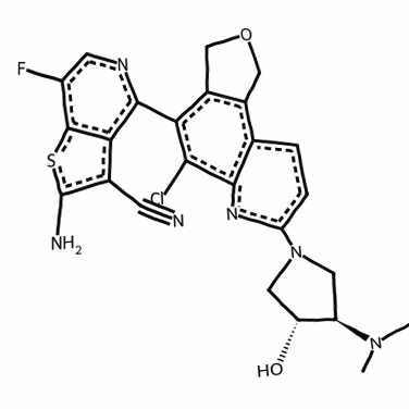 CN(C)[C@@H]1CN(c2ccc3c4c(c(-c5ncc(F)c6sc(N)c(C#N)c56)c(Cl)c3n2)COC4)C[C@H]1O